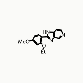 CCOc1cc(OC)ccc1-c1nc2cnccc2[nH]1